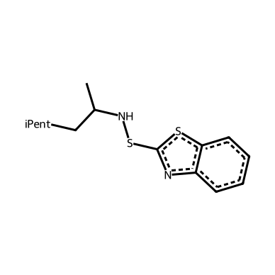 CCCC(C)CC(C)NSc1nc2ccccc2s1